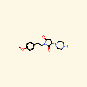 COc1ccc(CCN2C(=O)C[C@H](N3CCNCC3)C2=O)cc1